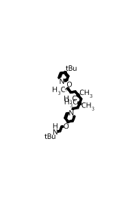 C[C@@H](CCC(C)(C)CC(C)(C)CCN1C=CC(OCCNC(C)(C)C)CC1)Oc1cc(C(C)(C)C)ccn1